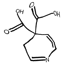 O=C(O)C1(C(=O)O)C=CN=CC1